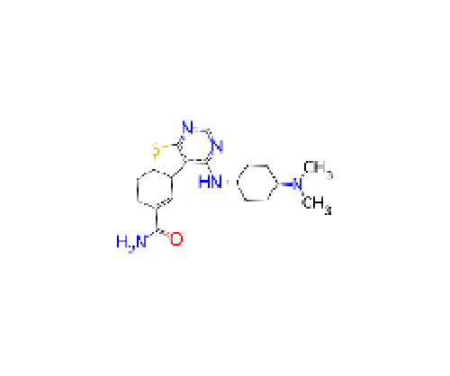 CN(C)[C@H]1CC[C@H](Nc2ncnc3c2C2C=C(C(N)=O)C=CC2S3)CC1